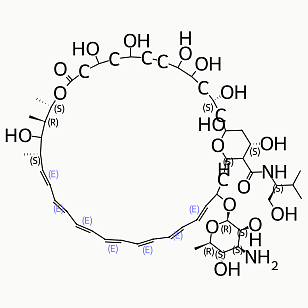 CC(C)[C@@H](CO)NC(=O)C1[C@@H]2CC(O[C@@H]3O[C@H](C)[C@@H](O)[C@H](N)[C@@H]3O)/C=C/C=C/C=C/C=C/C=C/C=C/C=C/[C@H](C)C(O)[C@@H](C)[C@H](C)OC(=O)CC(O)CC(O)CCC(O)C(O)C[C@H](O)CC(O)(C[C@@H]1O)O2